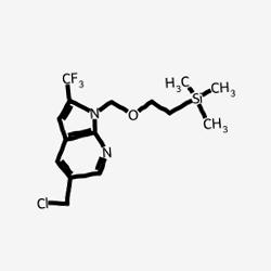 C[Si](C)(C)CCOCn1c(C(F)(F)F)cc2cc(CCl)cnc21